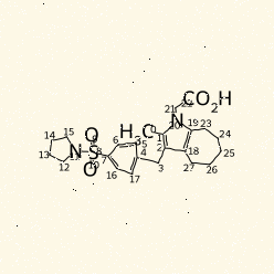 Cc1c(Cc2ccc(S(=O)(=O)N3CCCC3)cc2)c2c(n1CC(=O)O)CCCCC2